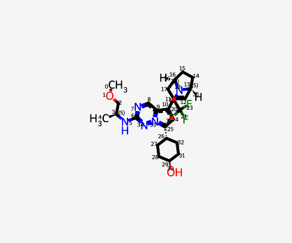 COC[C@H](C)Nc1ncc2c(C3=C[C@@H]4CC[C@H](C3)N4CC(F)(F)F)cc([C@H]3CC[C@H](O)CC3)n2n1